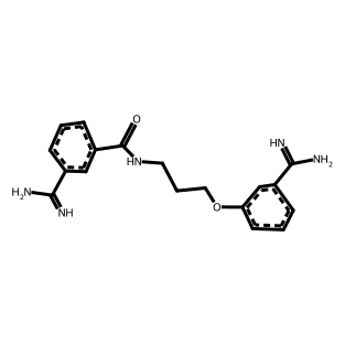 N=C(N)c1cccc(OCCCNC(=O)c2cccc(C(=N)N)c2)c1